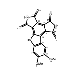 COc1cc2[nH]c3c4c(=O)[nH]c(=O)c4c4c(=O)[nH]c(=O)c4c3c2cc1OC